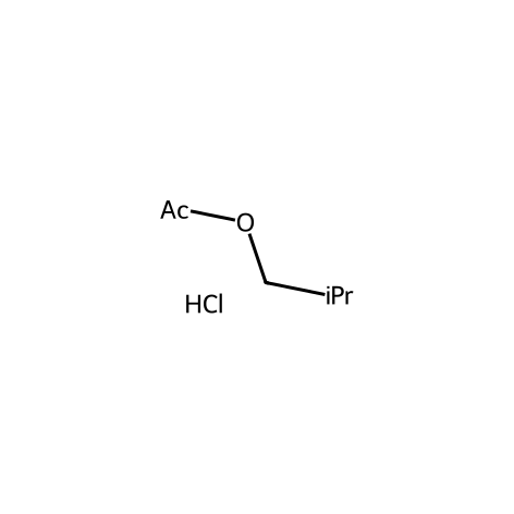 CC(=O)OCC(C)C.Cl